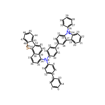 c1ccc(-c2ccc(N(c3ccc(-c4ccc5c(c4)c4ccccc4n5-c4ccccc4)cc3)c3cccc4c3ccc3c5ccccc5sc43)cc2)cc1